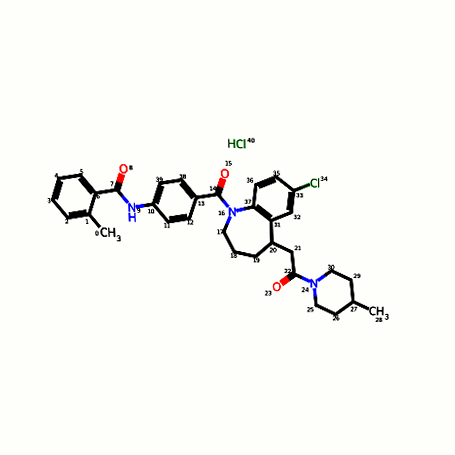 Cc1ccccc1C(=O)Nc1ccc(C(=O)N2CCCC(CC(=O)N3CCC(C)CC3)c3cc(Cl)ccc32)cc1.Cl